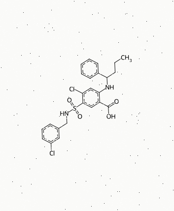 CCCC(Nc1cc(Cl)c(S(=O)(=O)NCc2cccc(Cl)c2)cc1C(=O)O)c1ccccc1